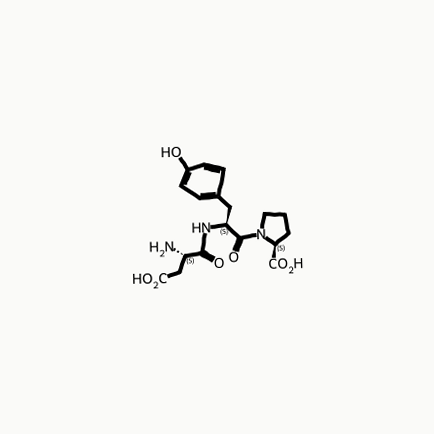 N[C@@H](CC(=O)O)C(=O)N[C@@H](Cc1ccc(O)cc1)C(=O)N1CCC[C@H]1C(=O)O